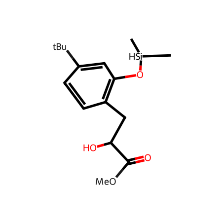 COC(=O)C(O)Cc1ccc(C(C)(C)C)cc1O[SiH](C)C